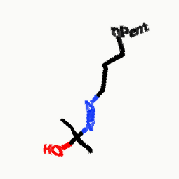 CCCCCCCCN=NC(C)(C)O